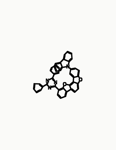 c1ccc(-c2nc(-c3ccccc3)nc(-c3cccc4c3oc3c4ccc4oc5ccc(-n6c7ccccc7c7ccccc76)cc5c43)n2)cc1